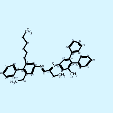 CCCCCCc1cc(N=CC(CC)=Nc2cc(C)c(-c3ccccc3)c(-c3ccccc3)c2)cc(CC)c1-c1ccccc1